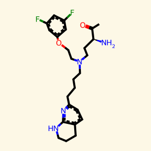 CC(=O)[C@@H](N)CCN(CCCCc1ccc2c(n1)NCCC2)CCOc1cc(F)cc(F)c1